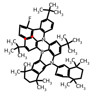 CC(C)(C)c1ccc2c(c1)B1c3cc4c(cc3N(c3ccc5c(c3)C(C)(C)CCC5(C)C)c3cc(C(C)(C)C)cc(c31)N2c1ccc(C(C)(C)C)cc1-c1ccccc1F)C(C)(C)CCC4(C)C